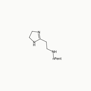 CCCCCNCCC1=NCCN1